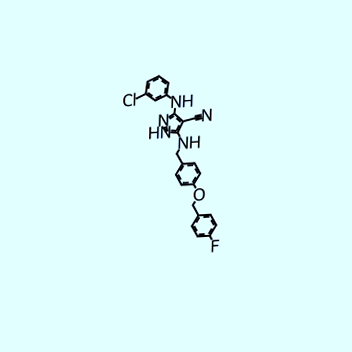 N#Cc1c(Nc2cccc(Cl)c2)n[nH]c1NCc1ccc(OCc2ccc(F)cc2)cc1